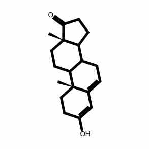 C[C@]12CCC(O)=CC1=CCC1C2CC[C@]2(C)C(=O)CCC12